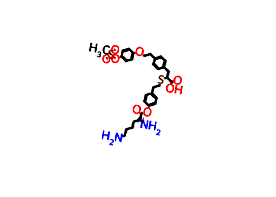 CS(=O)(=O)Oc1ccc(OCCc2ccc(CC(SCCc3ccc(OC(=O)[C@@H](N)CCCCN)cc3)C(=O)O)cc2)cc1